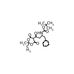 CC(C)(C)OC(=O)NC(CC(=O)C1C(=O)OC(C)(C)OC1=O)Cc1ccccc1